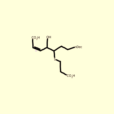 CCCCCCCCCCCCC(SCCC(=O)O)C(O)/C=C\C(=O)O